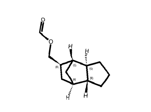 O=COC[C@@H]1C[C@H]2C[C@H]1[C@H]1CCC[C@H]21